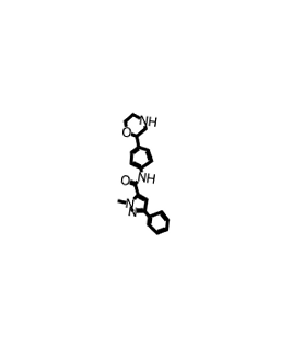 Cn1nc(-c2ccccc2)cc1C(=O)Nc1ccc(C2CNCCO2)cc1